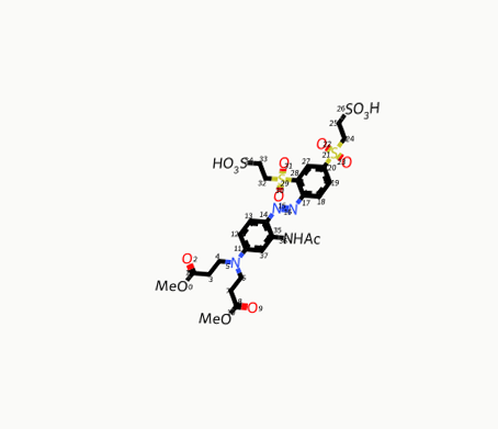 COC(=O)CCN(CCC(=O)OC)c1ccc(N=Nc2ccc(S(=O)(=O)CCS(=O)(=O)O)cc2S(=O)(=O)CCS(=O)(=O)O)c(NC(C)=O)c1